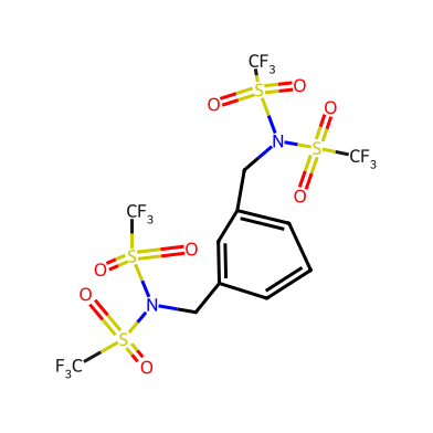 O=S(=O)(N(Cc1cccc(CN(S(=O)(=O)C(F)(F)F)S(=O)(=O)C(F)(F)F)c1)S(=O)(=O)C(F)(F)F)C(F)(F)F